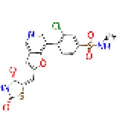 CC(C)NS(=O)(=O)c1ccc(-c2cncc3cc(/C=C4/SC(=O)NC4=O)oc23)c(Cl)c1